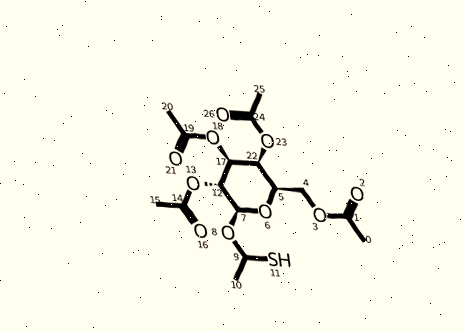 CC(=O)OC[C@H]1O[C@@H](OC(C)S)[C@H](OC(C)=O)[C@@H](OC(C)=O)[C@H]1OC(C)=O